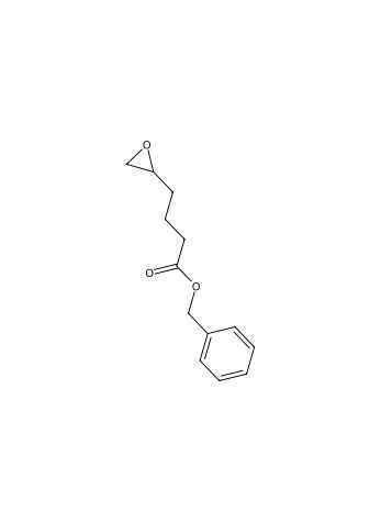 O=C(CCCC1CO1)OCc1ccccc1